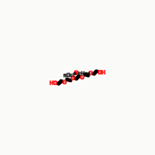 CCCCCCCCOCCCCCC.OCCOCCOCCOCCOCCO